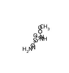 COc1ccc(-c2n[nH]c3c2C(=O)c2sc(-c4ccc(N)nc4)cc2-3)cc1